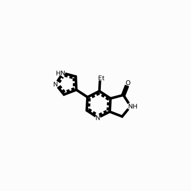 CCc1c(-c2cn[nH]c2)cnc2c1C(=O)NC2